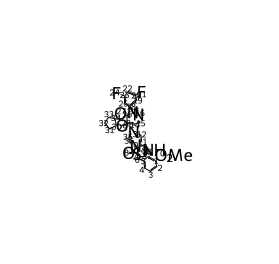 COc1cccc(CS(=O)(=O)N2CCN(c3cnn(-c4cc(F)cc(F)c4)c(=O)c3OC3CCCC3)CC2)c1N